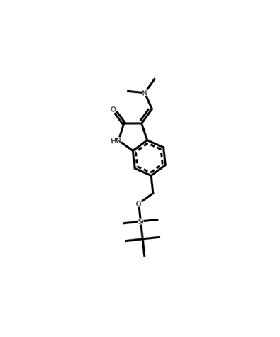 CN(C)C=C1C(=O)Nc2cc(CO[Si](C)(C)C(C)(C)C)ccc21